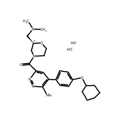 CCCCc1nnc(C(=O)N2CCO[C@H](CN(C)C)C2)cc1-c1ccc(OC2CCCCC2)cc1.Cl.Cl